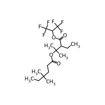 CCC(C(=O)OC(C(F)(F)F)C(F)(F)F)C(C)(C)OC(=O)CCC(C)(C)CC